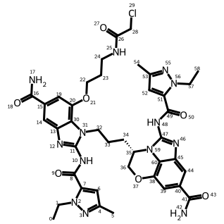 CCn1nc(C)cc1C(=O)Nc1nc2cc(C(N)=O)cc(OCCCNC(=O)CCl)c2n1CCC[C@H]1COc2cc(C(N)=O)cc3nc(NC(=O)c4cc(C)nn4CC)n1c23